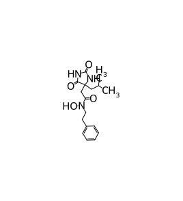 CC(C)CC1(CC(=O)N(O)CCc2ccccc2)NC(=O)NC1=O